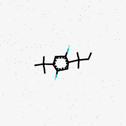 CCC(C)(C)c1cc(F)c(C(C)(C)C)cc1F